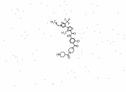 C=C=Cn1cc(-c2cnc(C(=O)Nc3ccc(C(=O)N4CCN(C(=O)C5CCNCC5)CC4)c(Cl)c3)n2C)c(C(F)(F)F)n1